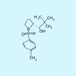 Cc1ccc(S(=O)(=O)N2CCC[C@@H]2C(O)C(C)(C)C)cc1